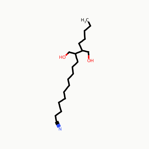 CCCCCC(CO)C(CO)CCCCCCCCCCC#N